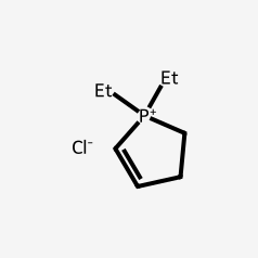 CC[P+]1(CC)C=CCC1.[Cl-]